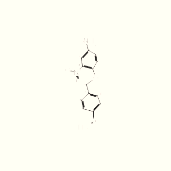 COc1ccc(COc2ccc(N)cc2[N+](=O)[O-])cc1